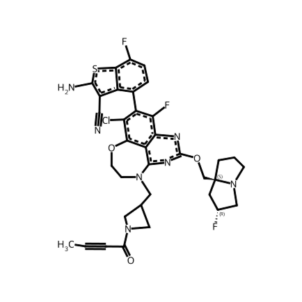 CC#CC(=O)N1CC(CN2CCOc3c(Cl)c(-c4ccc(F)c5sc(N)c(C#N)c45)c(F)c4nc(OC[C@@]56CCCN5C[C@H](F)C6)nc2c34)C1